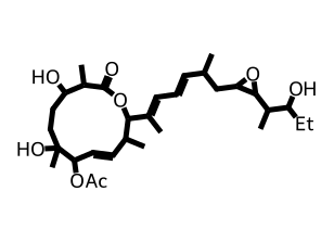 CCC(O)C(C)C1OC1CC(C)/C=C/C=C(\C)C1OC(=O)C(C)C(O)CCC(C)(O)C(OC(C)=O)/C=C/C1C